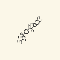 CNC(=O)NS(=O)(=O)c1ccc(NC(=O)c2cc3cc(F)c(Cl)cc3n2C)cc1